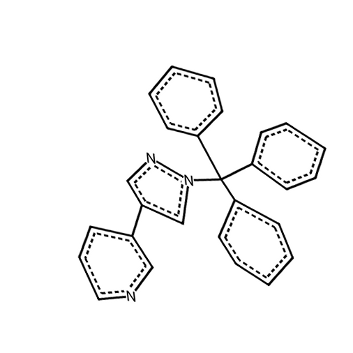 c1ccc(C(c2ccccc2)(c2ccccc2)n2cc(-c3cccnc3)cn2)cc1